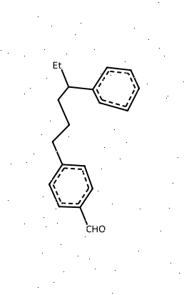 CCC(CCCc1ccc(C=O)cc1)c1ccccc1